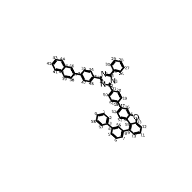 c1ccc(-c2cccc(-c3cccc4oc5cc(-c6ccc(-c7nc(-c8ccccc8)nc(-c8ccc(-c9ccc%10ccccc%10c9)cc8)n7)cc6)ccc5c34)c2)cc1